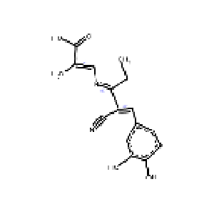 CCC(=N\C=C(/N)C(=O)O)/C(C#N)=C/c1ccc(O)c(O)c1